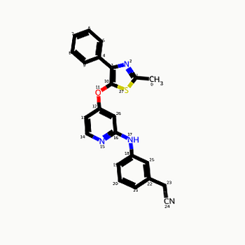 Cc1nc(-c2ccccc2)c(Oc2ccnc(Nc3cccc(CC#N)c3)c2)s1